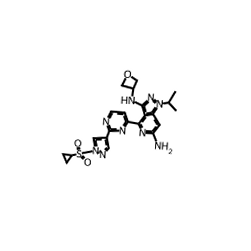 CC(C)n1nc(NC2COC2)c2c(-c3ccnc(-c4cnn(S(=O)(=O)C5CC5)c4)n3)nc(N)cc21